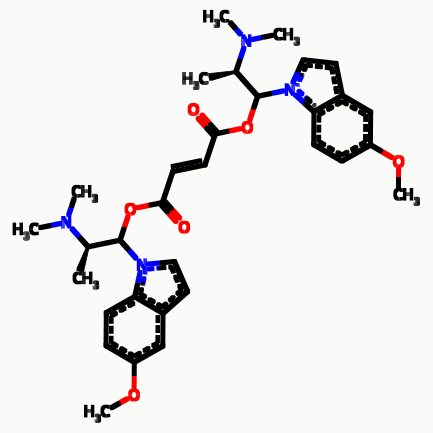 COc1ccc2c(ccn2C(OC(=O)/C=C/C(=O)OC([C@@H](C)N(C)C)n2ccc3cc(OC)ccc32)[C@@H](C)N(C)C)c1